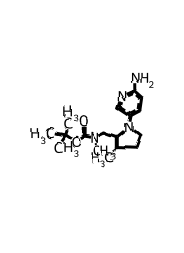 C[C@H]1CCN(c2ccc(N)nc2)C1CN(C)C(=O)OC(C)(C)C